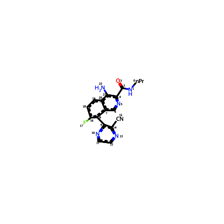 CCCNC(=O)c1ncc2c(-c3nccnc3C#N)c(F)ccc2c1N